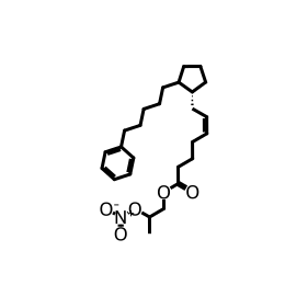 CC(COC(=O)CCC/C=C\C[C@H]1CCCC1CCCCCc1ccccc1)O[N+](=O)[O-]